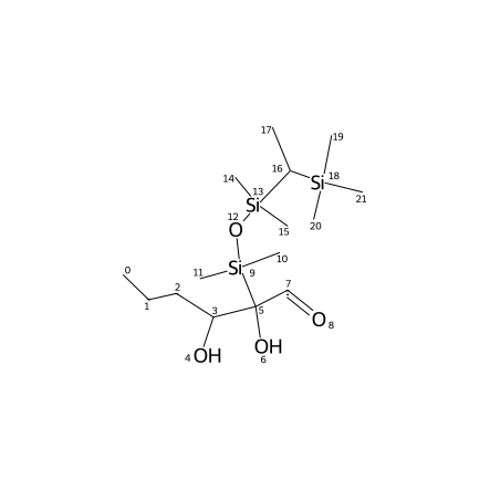 CCCC(O)C(O)([C]=O)[Si](C)(C)O[Si](C)(C)C(C)[Si](C)(C)C